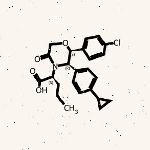 CCC[C@@H](C(=O)O)N1C(=O)CO[C@@H](c2ccc(Cl)cc2)[C@H]1c1ccc(C2CC2)cc1